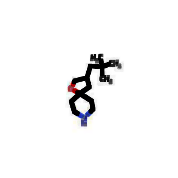 CC(C)(C)CC1COC2(CCNCC2)C1